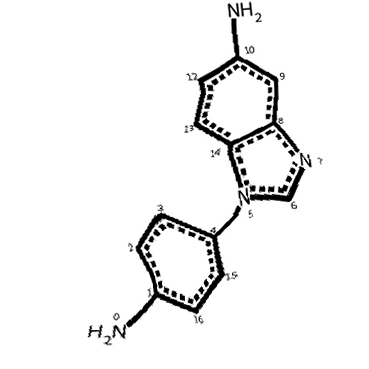 Nc1ccc(-n2cnc3cc(N)ccc32)cc1